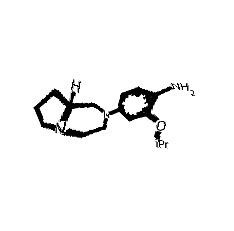 CC(C)Oc1cc(N2CCN3CCC[C@@H]3C2)ccc1N